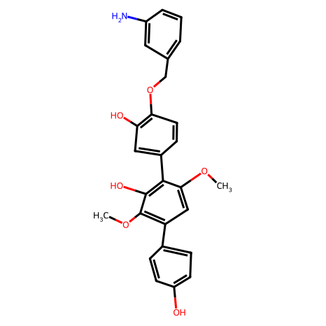 COc1cc(-c2ccc(O)cc2)c(OC)c(O)c1-c1ccc(OCc2cccc(N)c2)c(O)c1